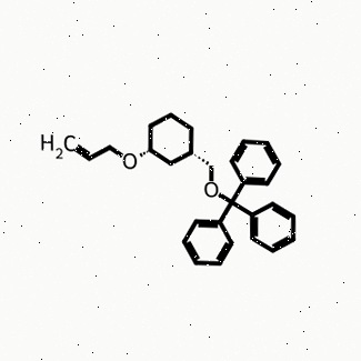 C=CCO[C@@H]1CCC[C@H](COC(c2ccccc2)(c2ccccc2)c2ccccc2)C1